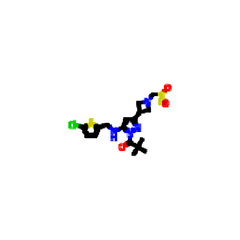 CC(C)(C)C(=O)n1nc(C2CN(C[SH](=O)=O)C2)cc1NCc1ccc(Cl)s1